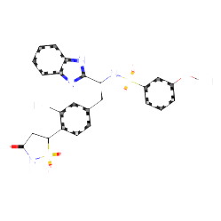 COc1cccc(S(=O)(=O)N[C@@H](Cc2ccc(C3CC(=O)NS3(=O)=O)c(C)c2)c2nc3ccccc3[nH]2)c1